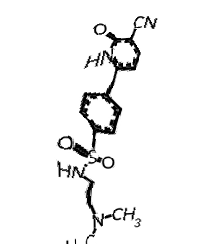 CN(C)CCNS(=O)(=O)c1ccc(-c2ccc(C#N)c(=O)[nH]2)cc1